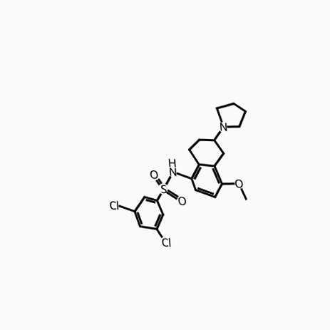 COc1ccc(NS(=O)(=O)c2cc(Cl)cc(Cl)c2)c2c1CC(N1CCCC1)CC2